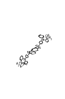 CC1(C)c2ccccc2N(c2ccc(-c3nc4cc5sc(-c6ccc(N7c8ccccc8C(C)(C)c8ccccc87)cc6)nc5cc4o3)cc2)c2ccccc21